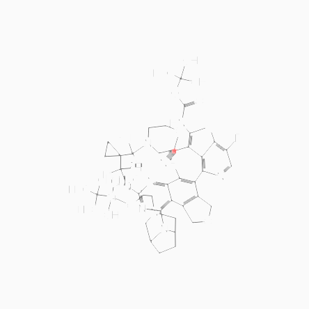 [2H]C([2H])(Oc1nc(N2C3CCC2CN(C[C@@H](C)O[Si](C)(C)C(C)(C)C)C3)c2c3c(c(-c4ncc(F)c5sc(NC(=O)OC(C)(C)C)c(C#N)c45)c(F)c2n1)COC3)C1(C([2H])([2H])N2CCOCC2)CC1